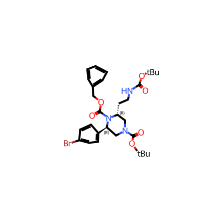 CC(C)(C)OC(=O)NCC[C@@H]1CN(C(=O)OC(C)(C)C)C[C@@H](c2ccc(Br)cc2)N1C(=O)OCc1ccccc1